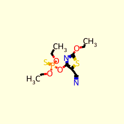 CCOc1nc(OP(=S)(OCC)OCC)c(C#N)s1